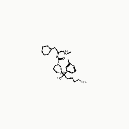 CNCC(CC1CCCCC1)NC(=O)N1CCC[C@@H]([C@@](O)(CCCCOC)c2cccc(C)c2)C1